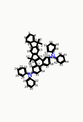 CC1(C)c2ccccc2-c2cc3c(cc21)-c1c(c2cc(N(c4ccccc4)c4ccccc4)ccc2c2ccc(N(c4ccccc4)c4ccccc4)cc12)C3(C)C